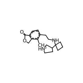 Cc1c(CCNC2(C3CCNC3)CCC2)ccc2c1COC2=O